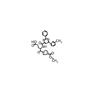 CCOC(=O)N1CCN(C(=O)C(CCC(=O)O)NC(=O)c2cc(-c3cccc(C)c3)nc(-c3ccccc3)n2)CC1